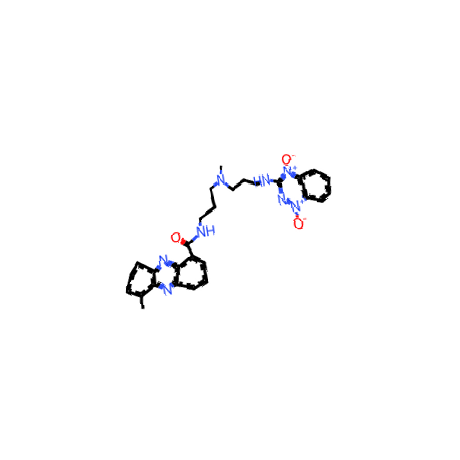 Cc1cccc2nc3c(C(=O)NCCCN(C)CCCNc4n[n+]([O-])c5ccccc5[n+]4[O-])cccc3nc12